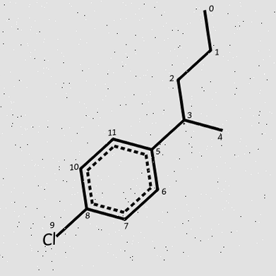 CCC[C](C)c1ccc(Cl)cc1